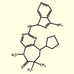 CN1C(=O)C(C)(C)CN(C2CCCC2)c2nc(Nn3nc(N)c4ccccc43)ncc21